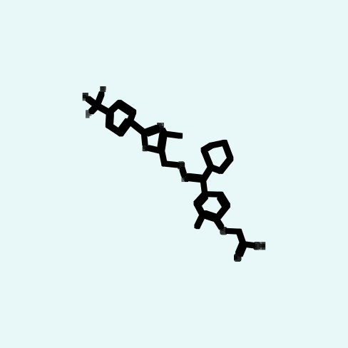 Cc1cc(C(=NOCc2sc(-c3ccc(C(F)(F)F)cc3)nc2C)C2CCCCC2)ccc1OCC(=O)O